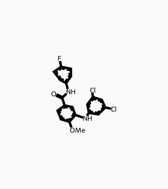 COc1ccc(C(=O)Nc2ccc(F)cc2)cc1Nc1cc(Cl)cc(Cl)c1